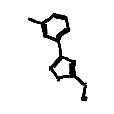 CCSc1nc(-c2cccc(C)c2)ns1